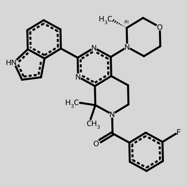 C[C@@H]1COCCN1c1nc(-c2cccc3[nH]ccc23)nc2c1CCN(C(=O)c1cccc(F)c1)C2(C)C